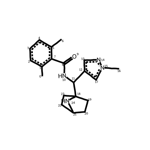 Cc1cccc(C)c1C(=O)NC(c1cnn(C)c1)C12CCC(CC1)N2